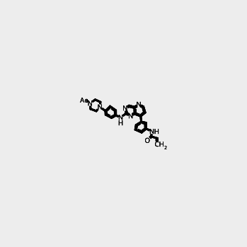 C=CC(=O)Nc1cccc(-c2ccnc3cnc(Nc4ccc(N5CCN(C(C)=O)CC5)cc4)nc23)c1